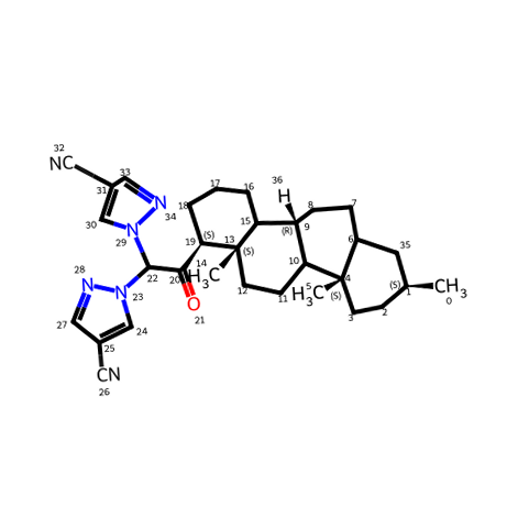 C[C@H]1CC[C@@]2(C)C(CC[C@@H]3C2CC[C@@]2(C)C3CCC[C@@H]2C(=O)C(n2cc(C#N)cn2)n2cc(C#N)cn2)C1